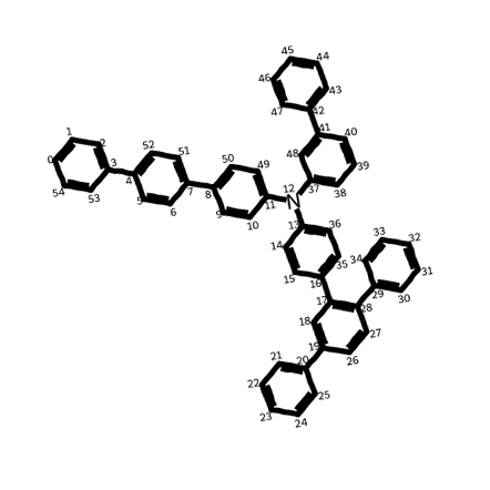 c1ccc(-c2ccc(-c3ccc(N(c4ccc(-c5cc(-c6ccccc6)ccc5-c5ccccc5)cc4)c4cccc(-c5ccccc5)c4)cc3)cc2)cc1